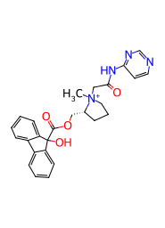 C[N+]1(CC(=O)Nc2ccncn2)CCC[C@@H]1COC(=O)C1(O)c2ccccc2-c2ccccc21